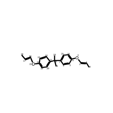 CC=COc1ccc(C(C)(C)c2ccc(OC=CC)cc2)cc1